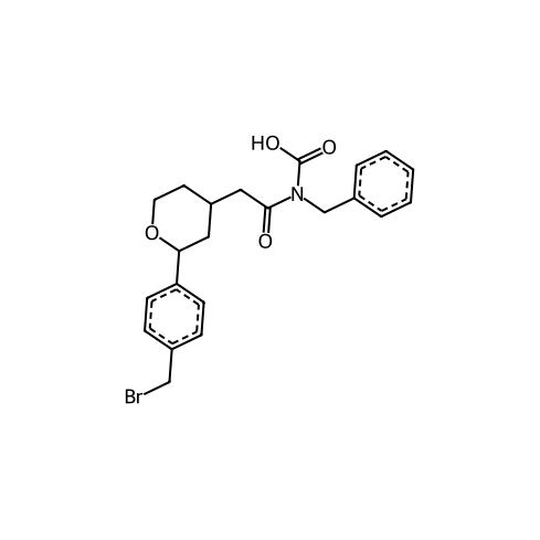 O=C(O)N(Cc1ccccc1)C(=O)CC1CCOC(c2ccc(CBr)cc2)C1